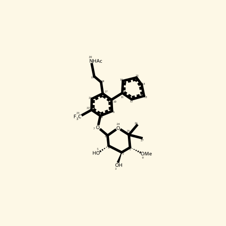 CO[C@@H]1[C@@H](O)[C@H](O)C(Oc2cc(-c3ccccc3)c(CCNC(C)=O)cc2C(F)(F)F)OC1(C)C